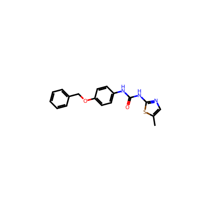 Cc1cnc(NC(=O)Nc2ccc(OCc3ccccc3)cc2)s1